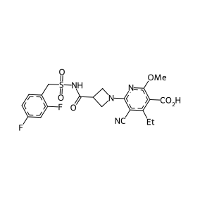 CCc1c(C#N)c(N2CC(C(=O)NS(=O)(=O)Cc3ccc(F)cc3F)C2)nc(OC)c1C(=O)O